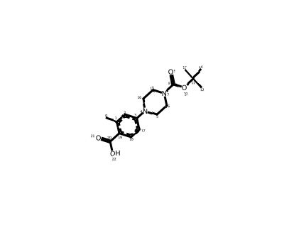 Cc1cc(N2CCN(C(=O)OC(C)(C)C)CC2)ccc1C(=O)O